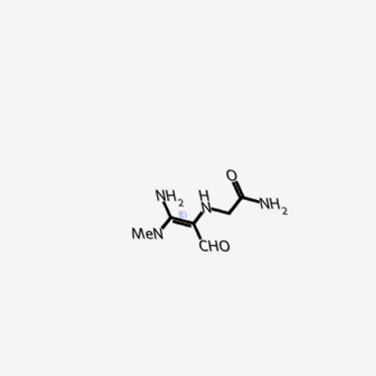 CN/C(N)=C(\C=O)NCC(N)=O